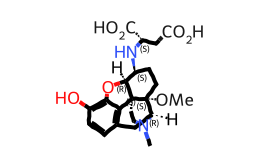 CO[C@@]12CC[C@H](N[C@@H](CC(=O)O)C(=O)O)[C@@H]3Oc4c(O)ccc5c4[C@@]31CCN(C)[C@@H]2C5